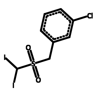 O=S(=O)(Cc1cccc(Cl)c1)C(I)I